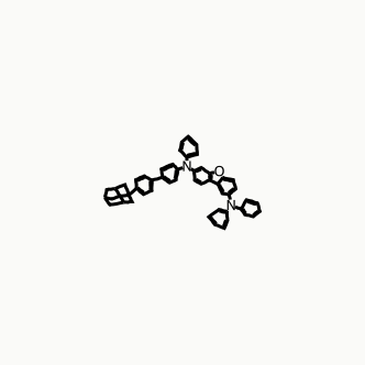 c1ccc(N(c2ccc(-c3ccc(C45CC6CC7CC(C4)C65C7)cc3)cc2)c2ccc3c(c2)oc2ccc(N(c4ccccc4)c4ccccc4)cc23)cc1